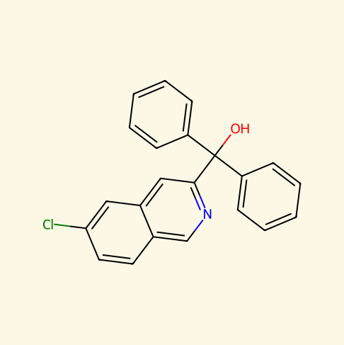 OC(c1ccccc1)(c1ccccc1)c1cc2cc(Cl)ccc2cn1